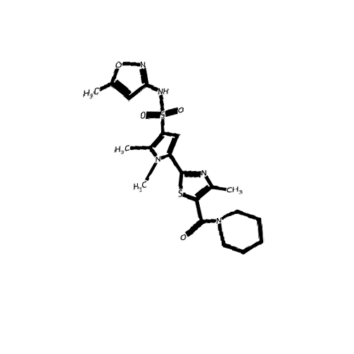 Cc1cc(NS(=O)(=O)c2cc(-c3nc(C)c(C(=O)N4CCCCC4)s3)n(C)c2C)no1